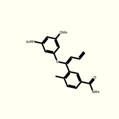 C=C/C=C(/Oc1cc(NC(C)=O)cc(OC)c1)c1cc(C(=O)NC)ccc1C